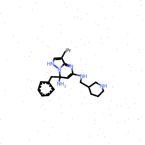 CC(C)C1=CNN2C1=NC(NCC1CCCNC1)=CC2(N)Cc1ccccc1